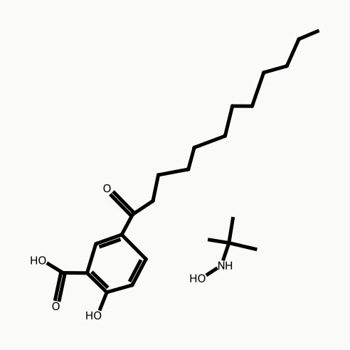 CC(C)(C)NO.CCCCCCCCCCCC(=O)c1ccc(O)c(C(=O)O)c1